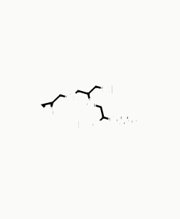 COC(C)COC(CO)COCC1CO1